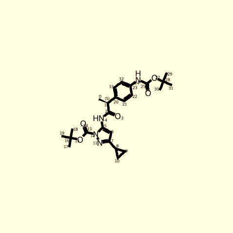 C[C@H](C(=O)Nc1cc(C2CC2)nn1C(=O)OC(C)(C)C)c1ccc(NC(=O)OC(C)(C)C)cc1